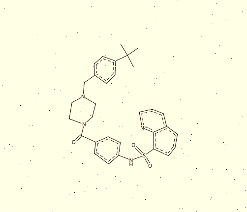 CC(C)(C)c1ccc(CN2CCN(C(=O)c3ccc(NS(=O)(=O)c4cccc5cccnc45)cc3)CC2)cc1